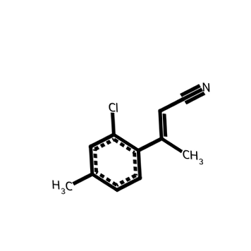 CC(=CC#N)c1ccc(C)cc1Cl